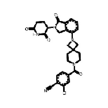 N#Cc1ccc(C(=O)N2CCC3(CC2)CN(c2cccc4c2CN(C2CCC(=O)NC2=O)C4=O)C3)cc1Cl